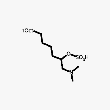 CCCCCCCCCCCCC(CN(C)C)OS(=O)(=O)O